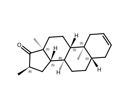 C[C@@H]1C[C@H]2[C@@H]3CC[C@H]4CC=CC[C@]4(C)[C@H]3CC[C@]2(C)C1=O